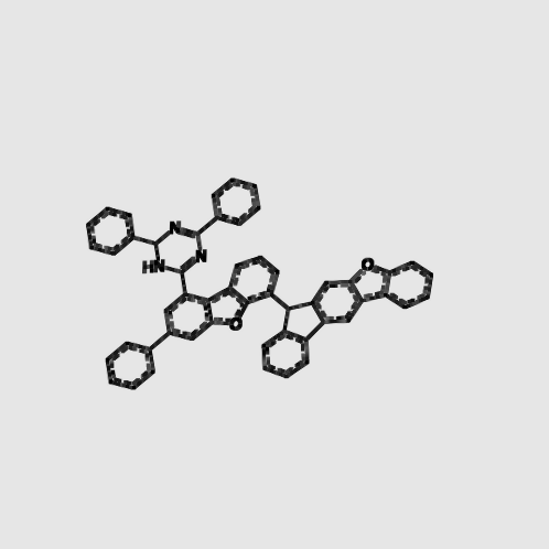 c1ccc(C2=NC(c3ccccc3)NC(c3cc(-c4ccccc4)cc4oc5c(C6c7ccccc7-c7cc8c(cc76)oc6ccccc68)cccc5c34)=N2)cc1